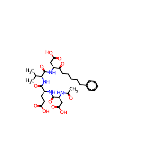 CC(=O)N[C@@H](CC(=O)O)C(=O)N[C@@H](CCC(=O)O)C(=O)N[C@H](C(=O)N[C@@H](CC(=O)O)C(=O)CCCCCc1ccccc1)C(C)C